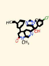 C#Cc1cccc(-c2cc(=O)n(C)c3cnc([C@](O)(c4ccc(Cl)cc4)c4cncn4C)cc23)c1